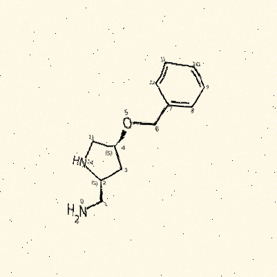 NC[C@@H]1C[C@H](OCc2ccccc2)CN1